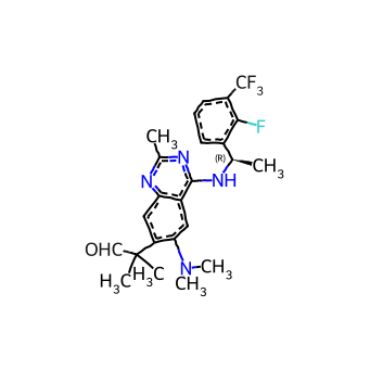 Cc1nc(N[C@H](C)c2cccc(C(F)(F)F)c2F)c2cc(N(C)C)c(C(C)(C)C=O)cc2n1